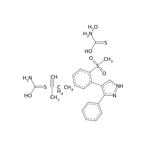 C.C.C#CC.CS(=O)(=O)c1ccccc1-c1c[nH]nc1-c1ccccc1.NC(O)=S.NC(O)=S.O